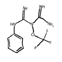 N=C(N)N(OC(F)(F)F)C(=N)Nc1ccccc1